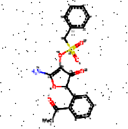 COC(=O)c1ccccc1C1OC(N)=C(OS(=O)(=O)Cc2ccccc2)C1=O